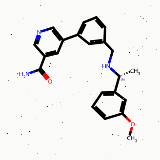 COc1cccc([C@@H](C)NCc2cccc(-c3cncc(C(N)=O)c3)c2)c1